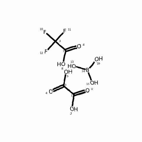 O=C(O)C(=O)O.O=C(O)C(F)(F)F.OB(O)O